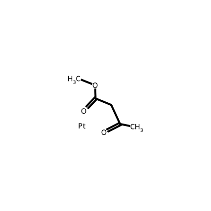 COC(=O)CC(C)=O.[Pt]